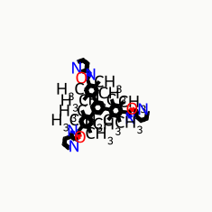 Cc1c(C)c(-c2nc3cccnc3o2)c(C)c(C)c1-c1cc(-c2c(C)c(C)c(-c3nc4cccnc4o3)c(C)c2C)cc(-c2c(C)c(C)c(-c3nc4cccnc4o3)c(C)c2C)c1